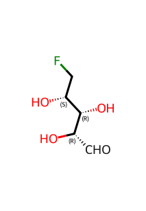 O=C[C@H](O)[C@@H](O)[C@H](O)CF